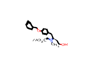 CN(CC(=O)O)[C@H](CCO)Cc1ccc(OCc2ccccc2)cc1